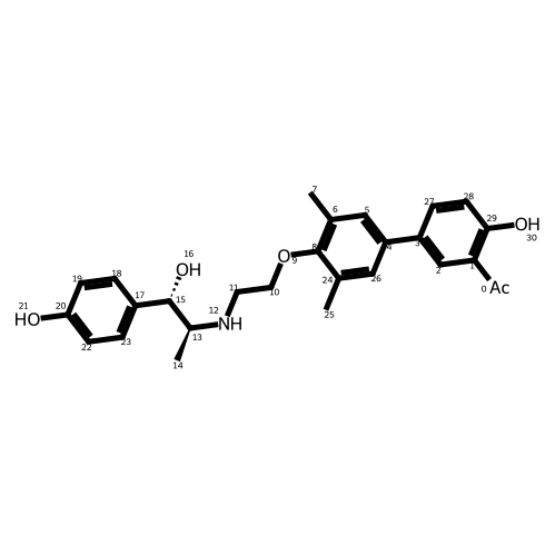 CC(=O)c1cc(-c2cc(C)c(OCCN[C@@H](C)[C@@H](O)c3ccc(O)cc3)c(C)c2)ccc1O